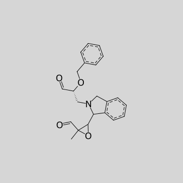 CC1(C=O)OC1C1c2ccccc2CN1C[C@H](C=O)OCc1ccccc1